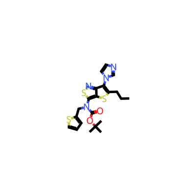 CCCc1sc2c(N(Cc3cccs3)C(=O)OC(C)(C)C)snc2c1-n1ccnc1